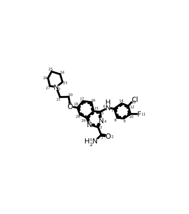 NC(=O)c1nc(Nc2ccc(F)c(Cl)c2)c2c[c]c(OCCN3CCCCC3)cc2n1